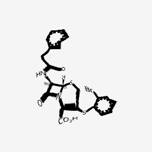 O=C(Cc1ccccc1)N[C@@H]1C(=O)N2C(C(=O)O)=C(Sc3ccccc3Br)CS[C@@H]12